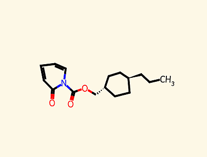 CCC[C@H]1CC[C@H](COC(=O)n2ccccc2=O)CC1